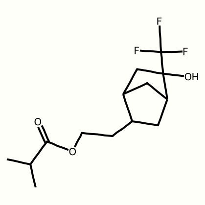 CC(C)C(=O)OCCC1CC2CC1CC2(O)C(F)(F)F